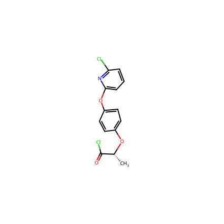 C[C@@H](Oc1ccc(Oc2cccc(Cl)n2)cc1)C(=O)Cl